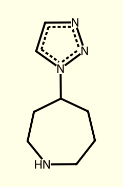 c1cn(C2CCCNCC2)nn1